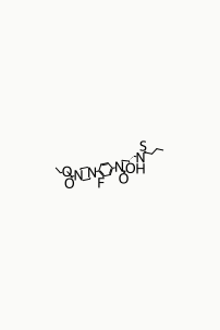 CCCC(=S)NC[C@H]1CN(c2ccc(N3CCN(C(=O)OCC)CC3)c(F)c2)C(=O)O1